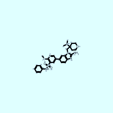 COc1ncc(-c2ccc3nc(N)n(CC4(N(C)C)CCOCC4)c3c2)cc1S(=O)(=O)Nc1ccccc1